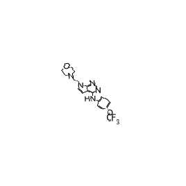 FC(F)(F)OC1=CCC=C(Nc2ncnc3c2ccn3CCN2CCOCC2)C=C1